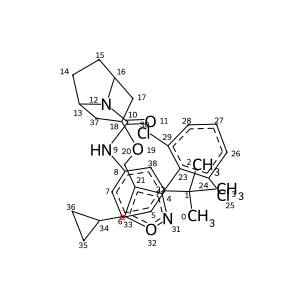 CC(C)(C)c1cccc(NC(=O)N2C3CCC2CC(OCc2c(-c4c(Cl)cccc4Cl)noc2C2CC2)C3)c1